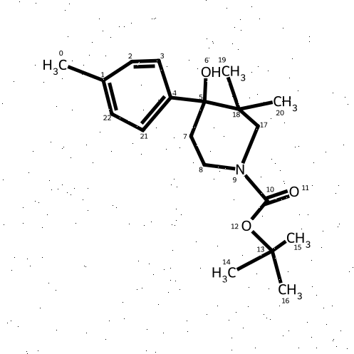 Cc1ccc(C2(O)CCN(C(=O)OC(C)(C)C)CC2(C)C)cc1